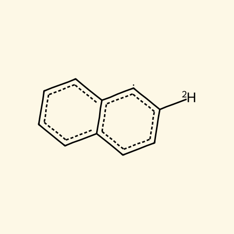 [2H]c1[c]c2ccccc2cc1